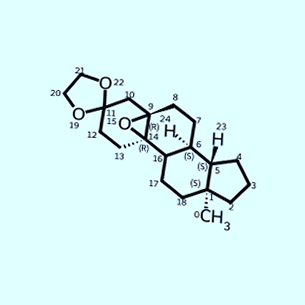 C[C@@]12CCC[C@H]1[C@@H]1CC[C@@]34CC5(CC[C@@]3(O4)C1CC2)OCCO5